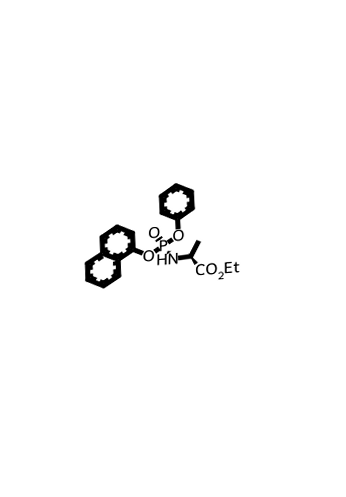 CCOC(=O)[C@H](C)N[P@@](=O)(Oc1ccccc1)Oc1cccc2ccccc12